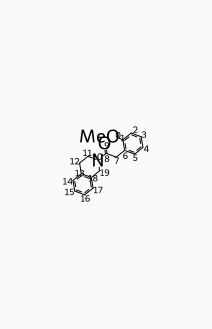 COc1ccccc1CC(=O)N1CCc2ccccc2C1